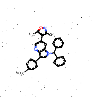 Cc1noc(C)c1-c1cnc2c(-c3ccc(C(=O)O)cc3)cn(C(c3ccccc3)c3ccccc3)c2c1